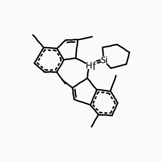 CC1=Cc2c(C)ccc(C)c2[CH]1[Hf]([CH]1C(C)=Cc2c(C)ccc(C)c21)=[Si]1CCCCC1